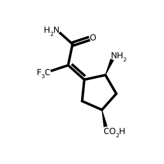 NC(=O)/C(=C1/C[C@H](C(=O)O)C[C@@H]1N)C(F)(F)F